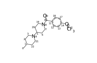 CC1CCN(C2CCN(C(=O)c3ccc(OC(F)(F)F)cc3)CC2)CC1